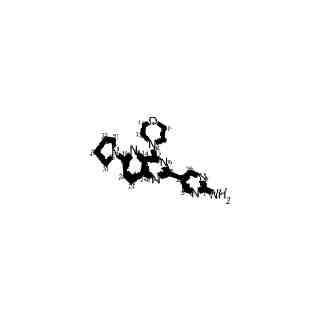 Nc1ncc(-c2nc(N3CCOCC3)c3nc(N4CCCC4)ccc3n2)cn1